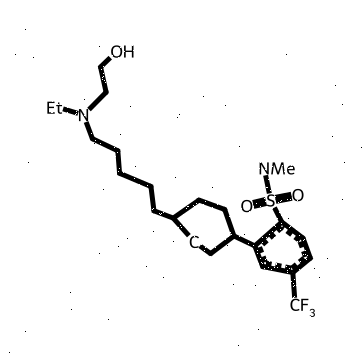 CCN(CCO)CCCCCC1CCC(c2cc(C(F)(F)F)ccc2S(=O)(=O)NC)CC1